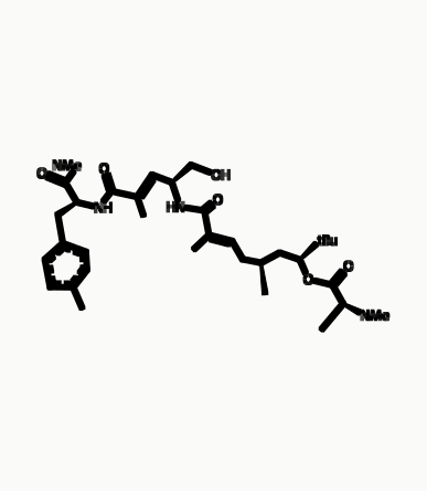 CNC(=O)[C@H](Cc1ccc(C)cc1)NC(=O)/C(C)=C/[C@@H](CO)NC(=O)/C(C)=C/C[C@H](C)C[C@H](OC(=O)[C@H](C)NC)C(C)(C)C